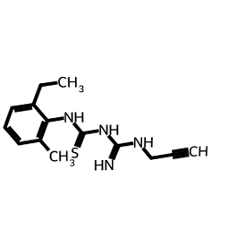 C#CCNC(=N)NC(=S)Nc1c(C)cccc1CC